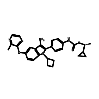 Cc1nccnc1Oc1ccc2c(c1)c(N)c(-c1ccc(NC(=O)O[C@H](C)C3CC3)cc1)n2C1CCC1